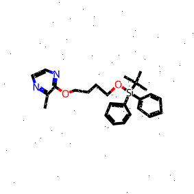 Cc1nccnc1OCCCCO[Si](c1ccccc1)(c1ccccc1)C(C)(C)C